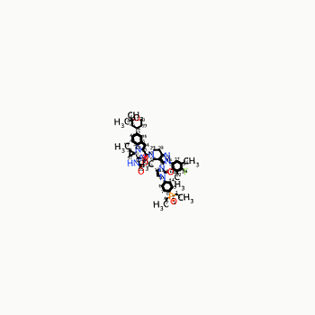 CCP(=O)(CC)c1ccc(-n2ccn(-c3c4c(nn3-c3cc(C)c(F)c(C)c3)CCN(C(=O)c3cc5cc([C@H]6CCOC(C)(C)C6)ccc5n3[C@@]3(c5noc(=O)[nH]5)C[C@@H]3C)[C@H]4C)c2=O)cc1